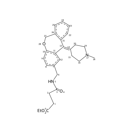 CCOC(=O)CCC(=O)NCc1ccc2c(c1)C(=C1CCN(C)CC1)c1ccccc1CO2